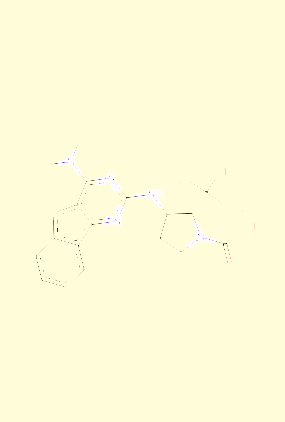 CN(C)c1nc(NC2CCN(C(=O)O)[C@H]2C(C)(C)C)nc2c1sc1ccccc12